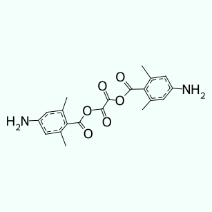 Cc1cc(N)cc(C)c1C(=O)OC(=O)C(=O)OC(=O)c1c(C)cc(N)cc1C